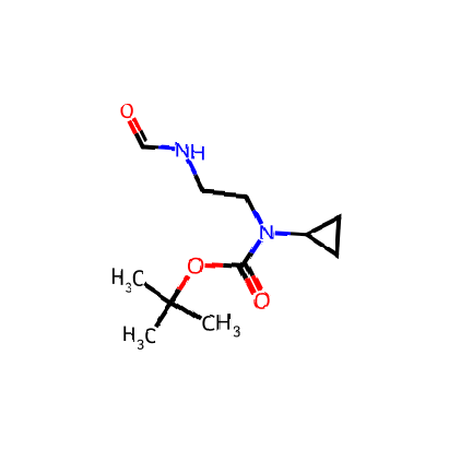 CC(C)(C)OC(=O)N(CCNC=O)C1CC1